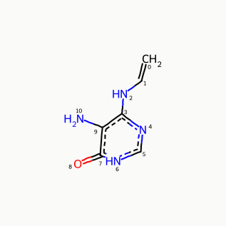 C=CNc1nc[nH]c(=O)c1N